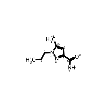 CCCn1nc(C([NH])=O)cc1C